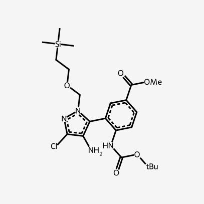 COC(=O)c1ccc(NC(=O)OC(C)(C)C)c(-c2c(N)c(Cl)nn2COCC[Si](C)(C)C)c1